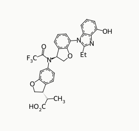 CCc1nc2c(O)cccc2n1-c1cccc2c1OC[C@H]2N(C(=O)C(F)(F)F)c1ccc2c(c1)OC[C@H]2C(C)C(=O)O